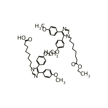 CCOC(=O)CCCCCCCn1cnc(-c2ccc(OC)cc2)c1-c1ccc(OC)cc1.COc1ccc(-c2ncn(CCCCCCCC(=O)O)c2-c2ccc(OC)cc2)cc1